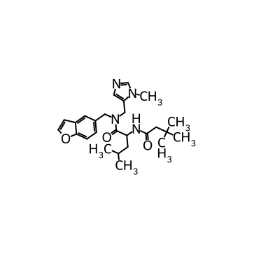 CC(C)CC(NC(=O)CC(C)(C)C)C(=O)N(Cc1ccc2occc2c1)Cc1cncn1C